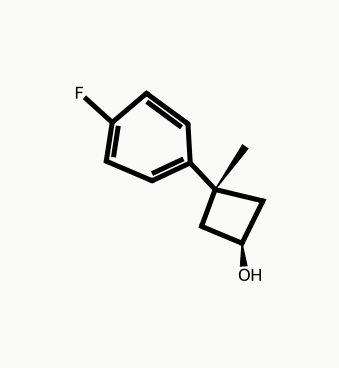 C[C@]1(c2ccc(F)cc2)C[C@H](O)C1